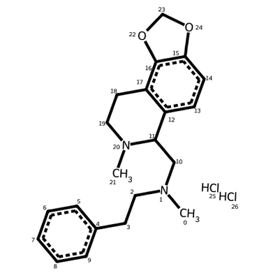 CN(CCc1ccccc1)CC1c2ccc3c(c2CCN1C)OCO3.Cl.Cl